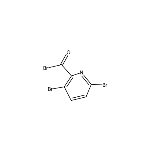 O=C(Br)c1nc(Br)ccc1Br